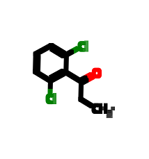 [CH2]CC(=O)c1c(Cl)cccc1Cl